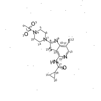 CS(=O)(=O)N1CCN(c2nc3c(F)cnc(NC(=O)C4CC4)c3s2)CC1